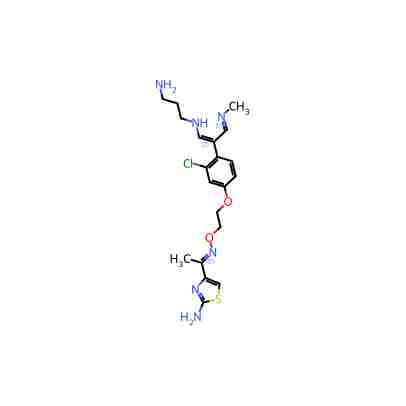 C/N=C/C(=C\NCCCN)c1ccc(OCCO/N=C(\C)c2csc(N)n2)cc1Cl